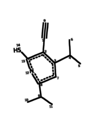 C#Cc1c(C(C)C)cc(C(C)C)nc1S